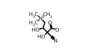 C[N+](C)(C)CC(O)C(O)(C#N)C(=O)[O-]